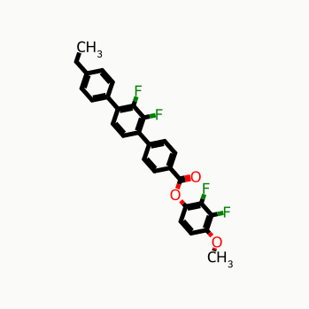 CCc1ccc(-c2ccc(-c3ccc(C(=O)Oc4ccc(OC)c(F)c4F)cc3)c(F)c2F)cc1